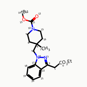 CCOC(=O)Cc1nn(CC2(C)CCN(C(=O)OC(C)(C)C)CC2)c2ccccc12